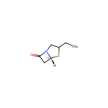 CC(=O)OCC1CN2C(=O)C[C@H]2S1